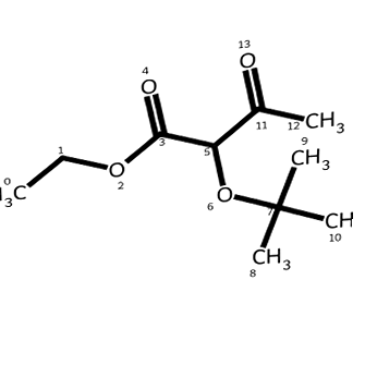 CCOC(=O)C(OC(C)(C)C)C(C)=O